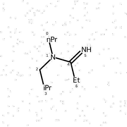 CCCN(CC(C)C)C(=N)CC